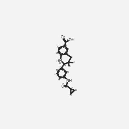 CC1(C)Cc2cc(C(=O)O)ccc2NC1c1cccc(NC(=O)C2CC2)c1